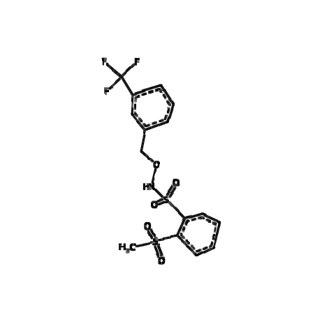 CS(=O)(=O)c1ccccc1S(=O)(=O)NOCc1cccc(C(F)(F)F)c1